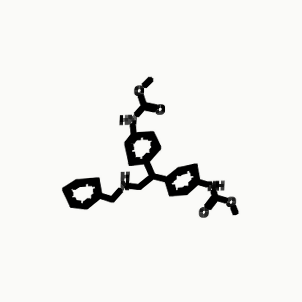 COC(=O)Nc1ccc(C(CNCc2ccccc2)c2ccc(NC(=O)OC)cc2)cc1